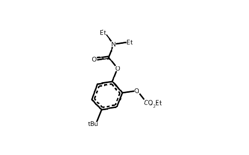 CCOC(=O)Oc1cc(C(C)(C)C)ccc1OC(=O)N(CC)CC